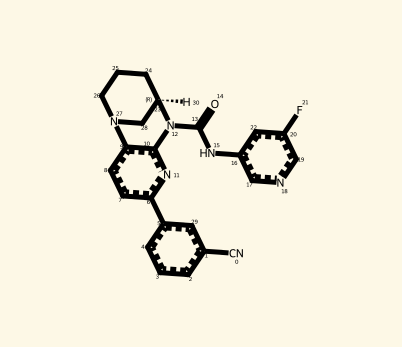 N#Cc1cccc(-c2ccc3c(n2)N(C(=O)Nc2cncc(F)c2)[C@@H]2CCCN3C2)c1